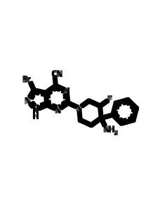 N#Cc1nc(N2CCC(N)(c3ccccc3)C(F)C2)nc2[nH]nc(Br)c12